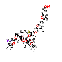 C=C1C(CC2OC(C[C@@H](CO[Si](C)(C)C(C)(C)C)O[Si](C)(C)C(C)(C)C)[C@H](OC)[C@H]2SCCC2CC[C@@H]3O[C@@H]([C@H](/C=C/I)O[Si](C)(C)C(C)(C)C)C[C@@H](O)[C@H]3O2)O[C@@H](CC[C@@H]2O[C@@H](CCCO)CC2=C)C[C@H]1C